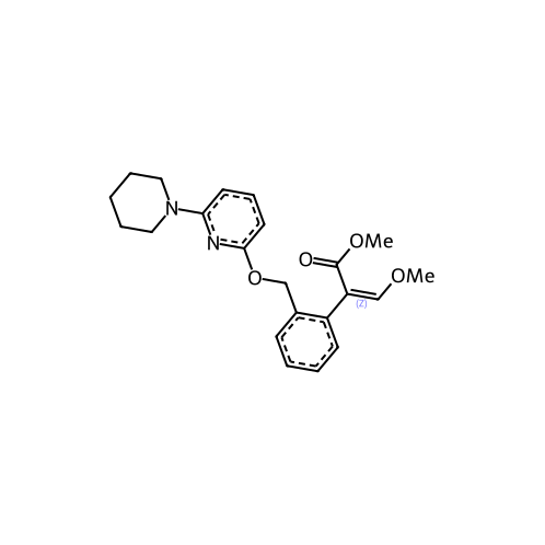 CO/C=C(\C(=O)OC)c1ccccc1COc1cccc(N2CCCCC2)n1